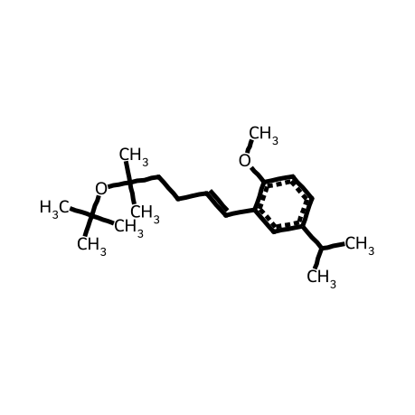 COc1ccc(C(C)C)cc1/C=C/CCC(C)(C)OC(C)(C)C